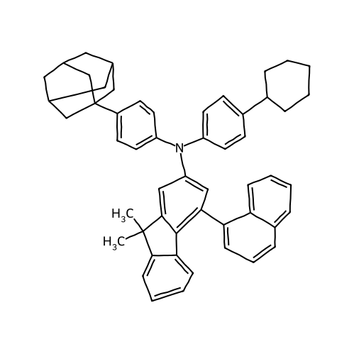 CC1(C)c2ccccc2-c2c(-c3cccc4ccccc34)cc(N(c3ccc(C4CCCCC4)cc3)c3ccc(C45CC6CC(CC(C6)C4)C5)cc3)cc21